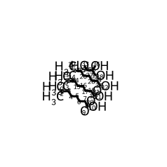 CC(C)CCCCCC(=O)O.CC(C)CCCCCC(=O)O.CC(C)CCCCCC(=O)O.OCC(O)CO